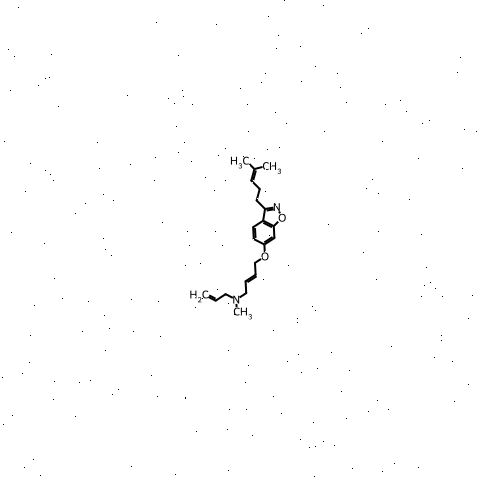 C=CCN(C)C/C=C/COc1ccc2c(CCC=C(C)C)noc2c1